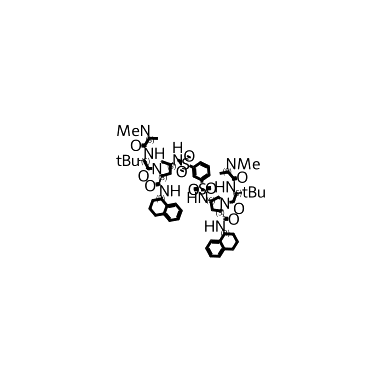 CN[C@@H](C)C(=O)N[C@H](C(=O)N1C[C@@H](NS(=O)(=O)c2cccc(S(=O)(=O)N[C@H]3C[C@@H](C(=O)N[C@@H]4CCCc5ccccc54)N(C(=O)[C@@H](NC(=O)[C@H](C)NC)C(C)(C)C)C3)c2)C[C@H]1C(=O)N[C@@H]1CCCc2ccccc21)C(C)(C)C